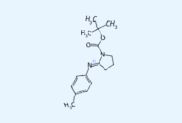 Cc1ccc(/N=C2\CCCN2C(=O)OC(C)(C)C)cc1